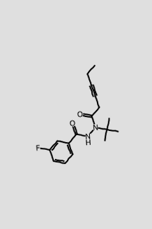 CCC#CCC(=O)N(NC(=O)c1cccc(F)c1)C(C)(C)C